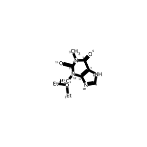 CCOCC.Cn1c(=O)c2[nH]cnc2n(C)c1=O